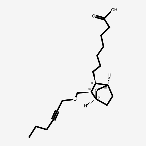 CCCC#CCOC[C@H]1[C@@H](CCCCCCC(=O)O)[C@H]2CC[C@@H]1O2